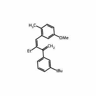 C=C(/C(=C\c1cc(OC)ccc1C)CC)c1cccc(C(C)(C)C)c1